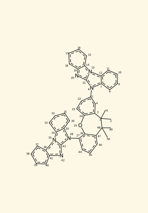 CC1(C)c2cc(-n3c4ccccc4n4c5ccccc5nc34)ccc2Oc2c(-n3c4ccccc4n4c5ccccc5nc34)cccc2C1(C)C